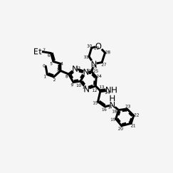 C\C=C/C(=C\C=C\CC)c1cc2nc(C(=N)/C=C\Nc3ccccc3)cc(N3CCOCC3)n2n1